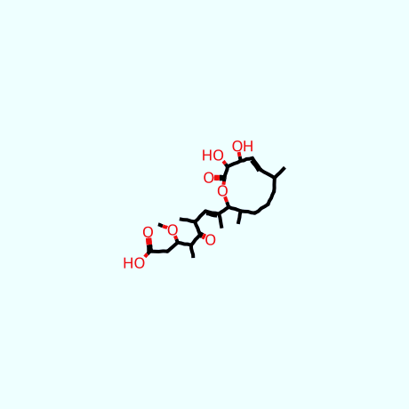 COC(CC(=O)O)C(C)C(=O)C(C)/C=C(\C)C1OC(=O)C(O)C(O)/C=C/C(C)CCCC1C